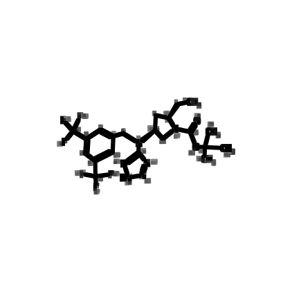 CC[C@@H]1C[C@H](N(Cc2cc(C(F)(F)F)cc(C(F)(F)F)c2)c2nn[nH]n2)CN1C(=O)OC(C)(C)C